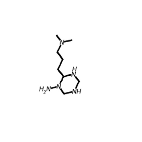 CN(C)CCCC1NCNCN1N